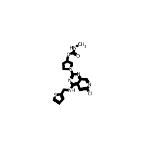 CNC(=O)OC1CCN(c2nc(NCc3cccs3)c3cc(Cl)ncc3n2)C1